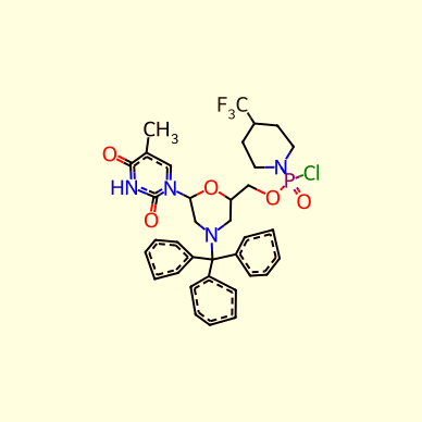 Cc1cn(C2CN(C(c3ccccc3)(c3ccccc3)c3ccccc3)CC(COP(=O)(Cl)N3CCC(C(F)(F)F)CC3)O2)c(=O)[nH]c1=O